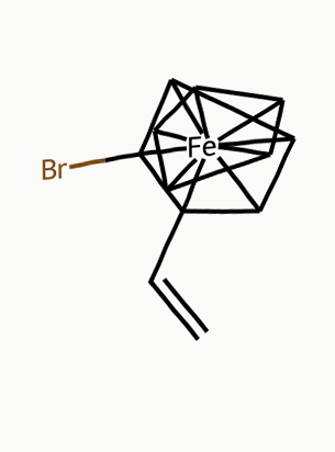 C=C[C]12[CH]3[CH]4[CH]5[C]1(Br)[Fe]45321678[CH]2[CH]1[CH]6[CH]7[CH]28